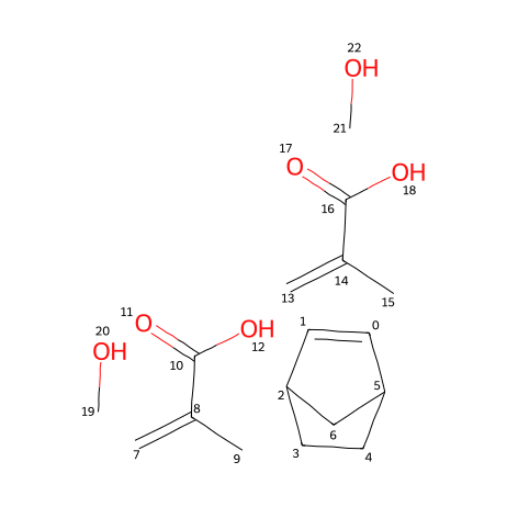 C1=CC2CCC1C2.C=C(C)C(=O)O.C=C(C)C(=O)O.CO.CO